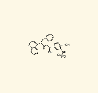 CS(=O)(=O)Nc1cc([C@@H](O)CN[C@H](Cc2ccccc2)c2cccc3ccccc23)ccc1O